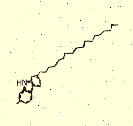 CCCCCCCCCCCCCCCCCCc1ccc2c(c1)[nH]c1cc(C)ccc12